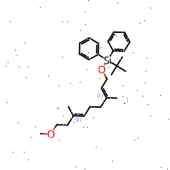 COCC/C(C)=C/CC/C(C)=C/CO[Si](c1ccccc1)(c1ccccc1)C(C)(C)C